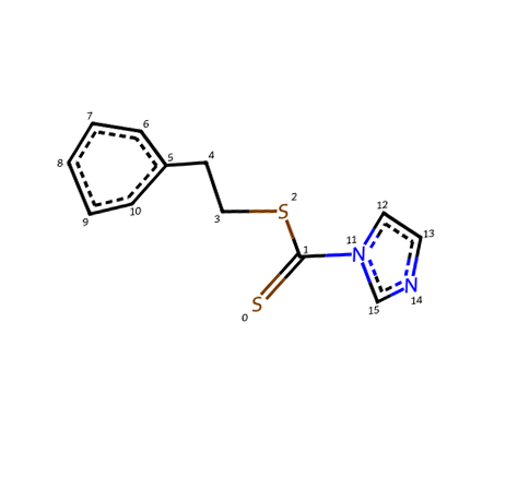 S=C(SCCc1ccccc1)n1ccnc1